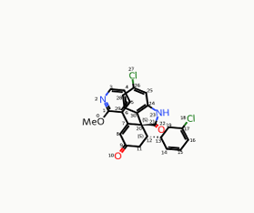 COc1ncccc1C1=CC(=O)C[C@@H](C2C=CC=C(Cl)C2)[C@]12C(=O)Nc1cc(Cl)ccc12